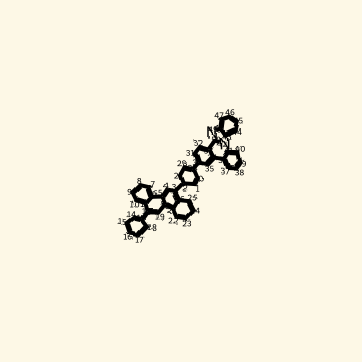 C1=CC(c2cc3c4ccccc4c(-c4ccccc4)cc3c3ccccc23)CC=C1c1ccc2c(c1)c1ccccc1n1c3ccccc3nc21